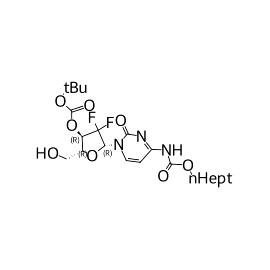 CCCCCCCOC(=O)Nc1ccn([C@@H]2O[C@H](CO)[C@@H](OC(=O)OC(C)(C)C)C2(F)F)c(=O)n1